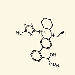 COC(O)c1ccccc1-c1ccc(N(CC(C)C)C2CCCCC2)c(Nc2nc(C#N)ns2)c1